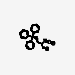 O=C=NC(C=O)CSC(c1ccccc1)(c1ccccc1)c1ccccc1